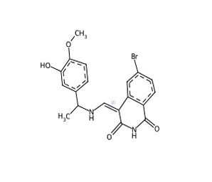 COc1ccc(C(C)N/C=C2\C(=O)NC(=O)c3ccc(Br)cc32)cc1O